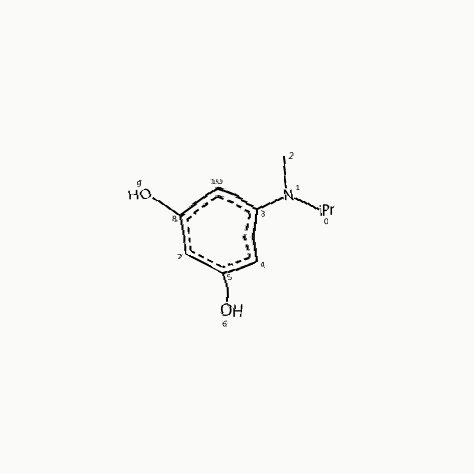 CC(C)N(C)c1cc(O)cc(O)c1